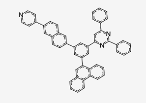 c1ccc(-c2cc(-c3cc(-c4ccc5cc(-c6ccncc6)ccc5c4)cc(-c4cc5ccccc5c5ccccc45)c3)nc(-c3ccccc3)n2)cc1